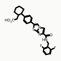 O=C(O)CC1CCCCC1c1ccc(-c2cn3cc(C(=O)NCc4c(F)cccc4F)nc3s2)cc1